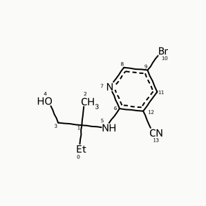 CCC(C)(CO)Nc1ncc(Br)cc1C#N